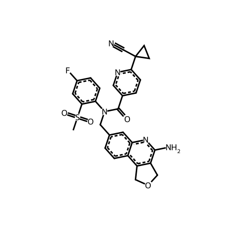 CS(=O)(=O)c1cc(F)ccc1N(Cc1ccc2c3c(c(N)nc2c1)COC3)C(=O)c1ccc(C2(C#N)CC2)nc1